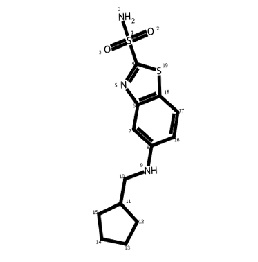 NS(=O)(=O)c1nc2cc(NCC3CCCC3)ccc2s1